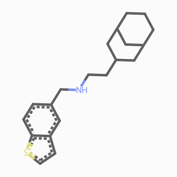 c1cc2cc(CNCCC3CC4CCCC(C4)C3)ccc2s1